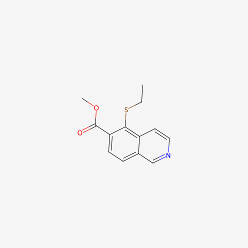 CCSc1c(C(=O)OC)ccc2cnccc12